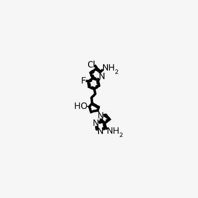 Nc1nc2cc(CCC3=C[C@@H](n4ccc5c(N)ncnc54)C[C@@H]3O)cc(F)c2cc1Cl